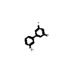 CC(C)c1cccc(-c2cc(F)cc(F)c2)c1